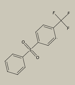 O=S(=O)(c1c[c]c(C(F)(F)F)cc1)c1ccccc1